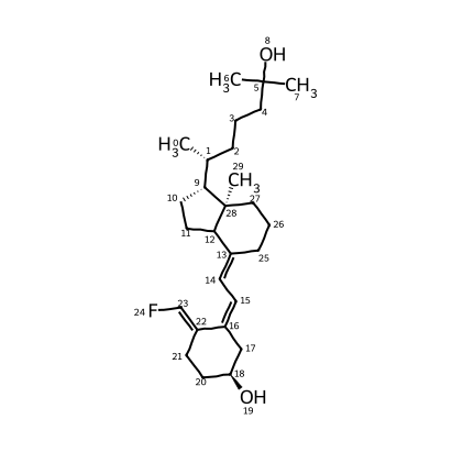 C[C@H](CCCC(C)(C)O)[C@H]1CCC2C(=C/C=C3/C[C@@H](O)CCC3=CF)CCC[C@@]21C